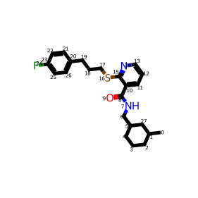 CC1CCCC(CNC(=O)c2cccnc2SCCCc2ccc(F)cc2)C1